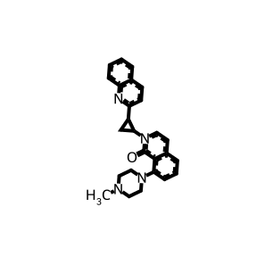 CN1CCN(c2cccc3ccn(C4CC4c4ccc5ccccc5n4)c(=O)c23)CC1